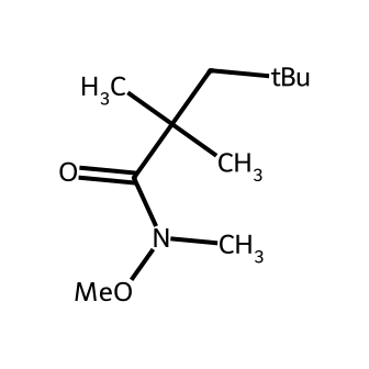 CON(C)C(=O)C(C)(C)CC(C)(C)C